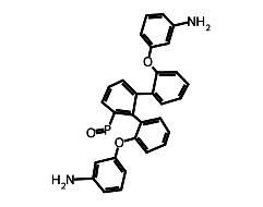 Nc1cccc(Oc2ccccc2-c2cccc(P=O)c2-c2ccccc2Oc2cccc(N)c2)c1